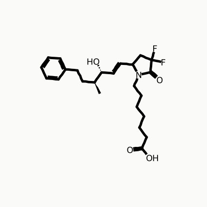 C[C@@H](CCc1ccccc1)[C@H](O)C=CC1CC(F)(F)C(=O)N1CCCCCCC(=O)O